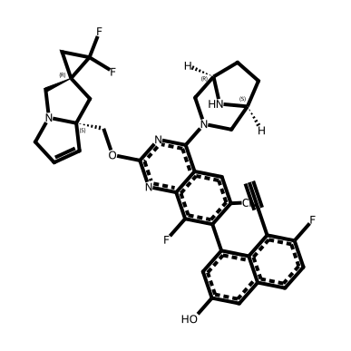 C#Cc1c(F)ccc2cc(O)cc(-c3c(C#N)cc4c(N5C[C@H]6CC[C@@H](C5)N6)nc(OC[C@]56C=CCN5C[C@]5(CC5(F)F)C6)nc4c3F)c12